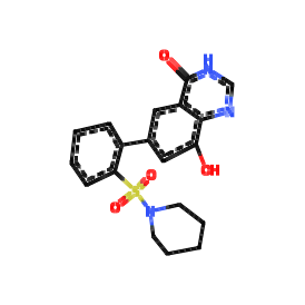 O=c1[nH]cnc2c(O)cc(-c3ccccc3S(=O)(=O)N3CCCCC3)cc12